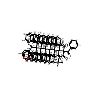 CC(C)(C)OC(=O)C(C(=O)c1ccccc1)(C(=O)c1ccccc1)C(C(=O)c1ccccc1)(C(=O)c1ccccc1)C(C(=O)c1ccccc1)(C(=O)c1ccccc1)C(C(=O)c1ccccc1)(C(=O)c1ccccc1)C(C(=O)c1ccccc1)(C(=O)c1ccccc1)C(C(=O)c1ccccc1)(C(=O)c1ccccc1)C(C(=O)c1ccccc1)(C(=O)c1ccccc1)C(=O)c1ccccc1